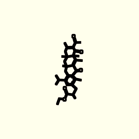 CCOC(=O)C(C)Cc1cc(C(C)C)c2c(c1C)C(=O)C1=C(C)C3(C)C(=O)C(C(C)=O)=C(C)CC3(C)CC1(C)C2